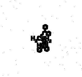 CC(=CCCC(c1ccccc1)c1ccccc1)[SiH2]Cn1ccnc1BC(c1ccccc1)c1ccccc1